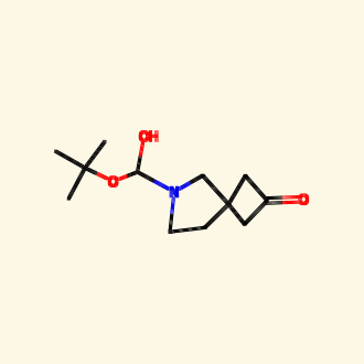 CC(C)(C)OC(O)N1CCC2(CC(=O)C2)C1